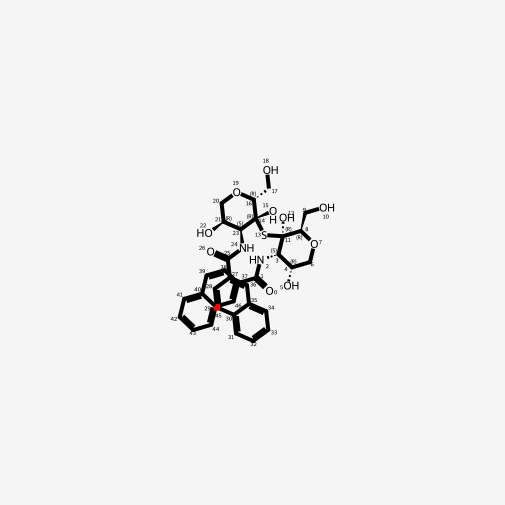 O=C(N[C@H]1[C@@H](O)CO[C@H](CO)[C@]1(O)S[C@@]1(O)[C@@H](CO)OC[C@H](O)[C@@H]1NC(=O)c1ccc2ccccc2c1)c1ccc2ccccc2c1